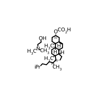 CC(C)CCC[C@@H](C)[C@H]1CC[C@H]2[C@@H]3CC=C4C[C@@H](OC(=O)O)CC[C@]4(C)[C@H]3CC[C@]12C.CN(C)CCO